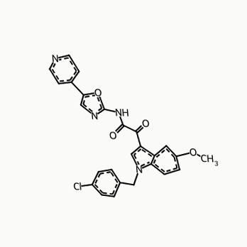 COc1ccc2c(c1)c(C(=O)C(=O)Nc1ncc(-c3ccncc3)o1)cn2Cc1ccc(Cl)cc1